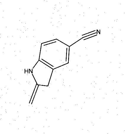 C=C1Cc2cc(C#N)ccc2N1